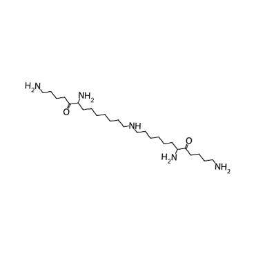 NCCCCC(=O)C(N)CCCCCCCNCCCCCCC(N)C(=O)CCCCN